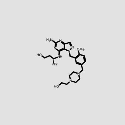 CCC[C@@H](CCO)Nc1nc(N)nc2cnn(Cc3cc(CN4CCN(CCO)CC4)ccc3OC)c12